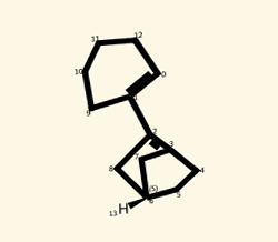 C1=C(C2=C3CC[C@@H](C3)C2)CCCC1